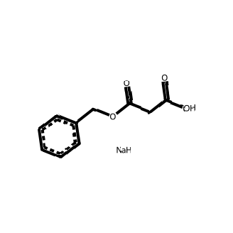 O=C(O)CC(=O)OCc1ccccc1.[NaH]